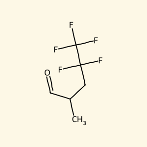 CC(C=O)CC(F)(F)C(F)(F)F